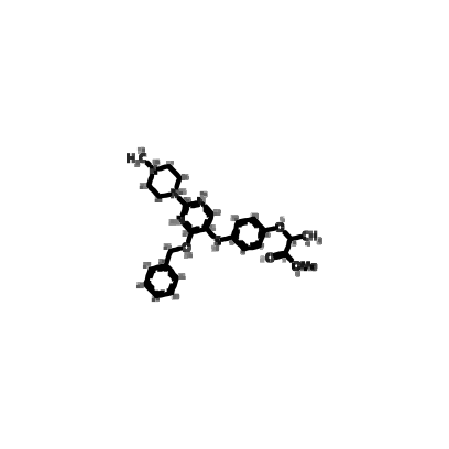 COC(=O)C(C)Oc1ccc(Sc2cnc(N3CCN(C)CC3)nc2OCc2ccccc2)cc1